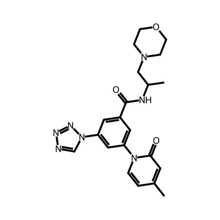 Cc1ccn(-c2cc(C(=O)NC(C)CN3CCOCC3)cc(-n3cnnn3)c2)c(=O)c1